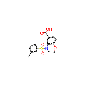 Cc1cccc(S(=O)(=O)N2CCOc3ccc(C(=O)O)cc32)c1